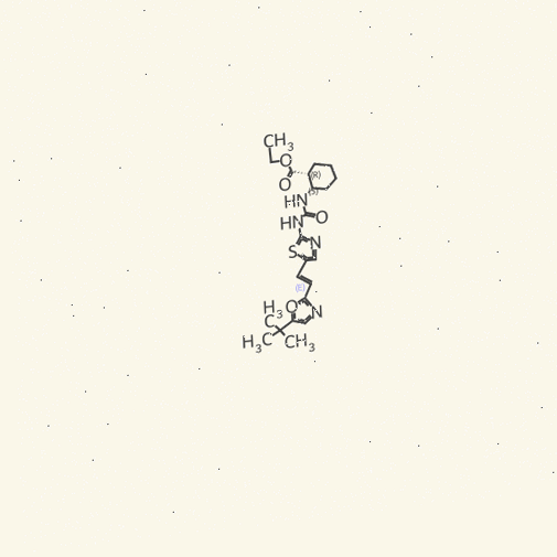 CCOC(=O)[C@@H]1CCCC[C@@H]1NC(=O)Nc1ncc(/C=C/c2ncc(C(C)(C)C)o2)s1